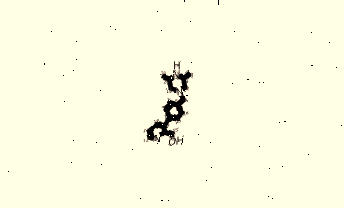 CC1CN(Cc2ccc(-c3cccnc3CO)cc2)CC(C)N1